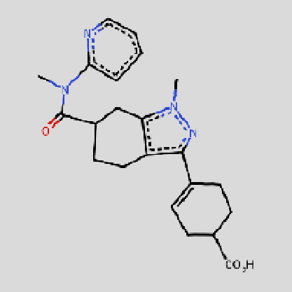 CN(C(=O)C1CCc2c(C3=CCC(C(=O)O)CC3)nn(C)c2C1)c1ccccn1